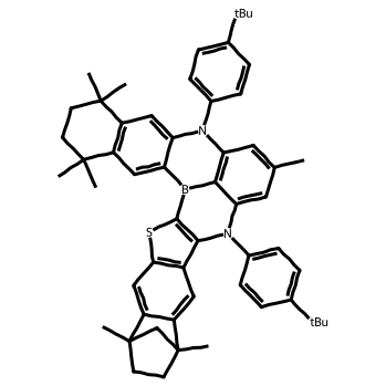 Cc1cc2c3c(c1)N(c1ccc(C(C)(C)C)cc1)c1c(sc4cc5c(cc14)C1(C)CCC5(C)C1)B3c1cc3c(cc1N2c1ccc(C(C)(C)C)cc1)C(C)(C)CCC3(C)C